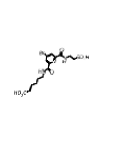 O=C(O)CCCCCNC(=O)c1cc(Br)cc(C(=O)NCCS(=O)(=O)O)n1